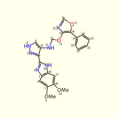 COc1cc2nc(-c3n[nH]cc3NCOc3ncoc3-c3ccccc3)[nH]c2cc1OC